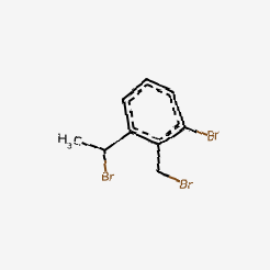 CC(Br)c1cccc(Br)c1CBr